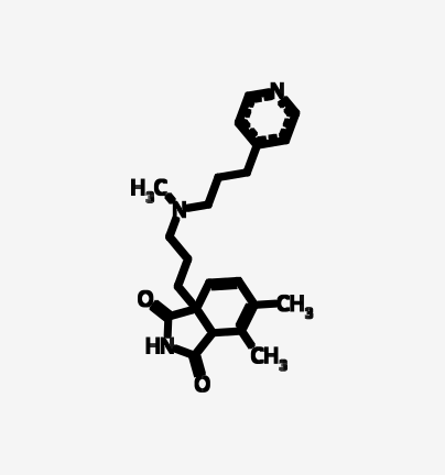 CC1=C(C)C2C(=O)NC(=O)C2(CCCN(C)CCCc2ccncc2)C=C1